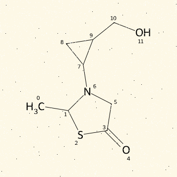 CC1SC(=O)CN1C1CC1CO